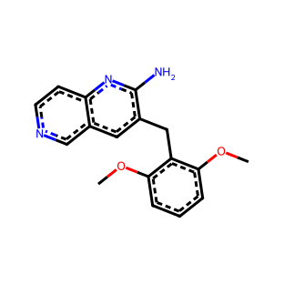 COc1cccc(OC)c1Cc1cc2cnccc2nc1N